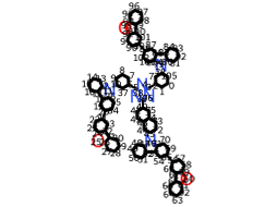 c1cc(-c2nc(-c3cccc(-n4c5ccccc5c5cc(-c6ccc7oc8ccccc8c7c6)ccc54)c3)nc(-c3ccc4cc(-n5c6ccccc6c6cc(-c7ccc8oc9ccccc9c8c7)ccc65)ccc4c3)n2)cc(-n2c3ccccc3c3cc(-c4ccc5oc6ccccc6c5c4)ccc32)c1